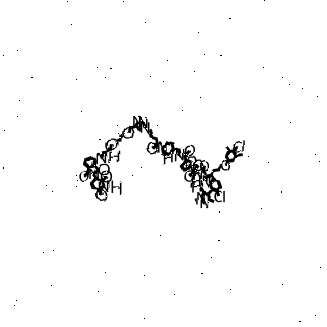 Cc1cc(OCCCc2c(C(=O)NS(=O)(=O)c3ccc(C(=O)NCC4CCN(C(=O)CCCn5cc(COCCOCCNc6cccc7c6C(=O)N(C6CCC(=O)NC6=O)C7=O)nn5)CC4)o3)[nH]c3c(-c4c(C)nn(C)c4C)c(Cl)ccc23)cc(C)c1Cl